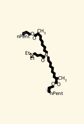 CCCCC/C=C\COC(=O)C(C)CCCCCCCCN(CCCCCCCC(C)C(=O)OC/C=C\CCCCC)C(=O)CCCN(CC)CC